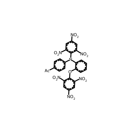 CC(=O)c1ccc(N(c2ccccc2Oc2c([N+](=O)[O-])cc([N+](=O)[O-])cc2[N+](=O)[O-])c2c([N+](=O)[O-])cc([N+](=O)[O-])cc2[N+](=O)[O-])cc1